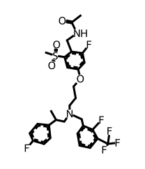 CC(=O)NCc1c(F)cc(OCCCN(Cc2cccc(C(F)(F)F)c2F)CC(C)c2ccc(F)cc2)cc1S(C)(=O)=O